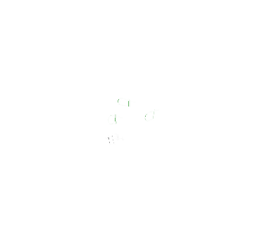 [Cl-].[Cl-].[Cl-].[Tl+3]